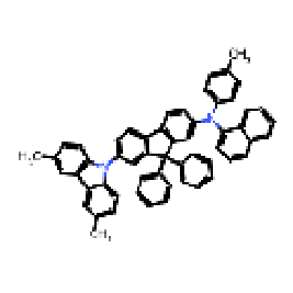 Cc1ccc(N(c2ccc3c(c2)C(c2ccccc2)(c2ccccc2)c2cc(-n4c5ccc(C)cc5c5cc(C)ccc54)ccc2-3)c2cccc3ccccc23)cc1